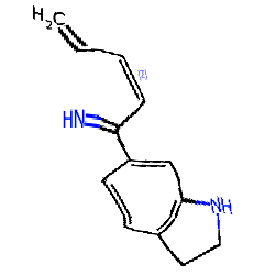 C=C/C=C\C(=N)c1ccc2c(c1)NCC2